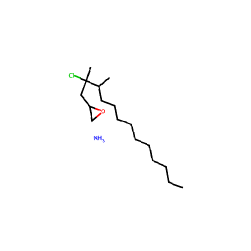 CCCCCCCCCCC(C)C(C)(Cl)CC1CO1.N